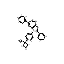 NC1(c2ccc(-n3c(-c4ccccc4)nc4cnc(-c5ccccc5)nc43)cc2)CCC1